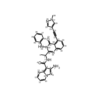 CC(NC(=O)c1c(N)nn2cccnc12)c1nc2cccc(C#Cc3cnn(C)c3)c2c(=O)n1Nc1ccccc1